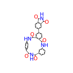 O=C1NC(=O)c2cccc(c2)NC(=O)c2ccc(-c3ccc4c(c3)C(=O)NC4=O)cc2C(=O)Nc2ccc1cc2